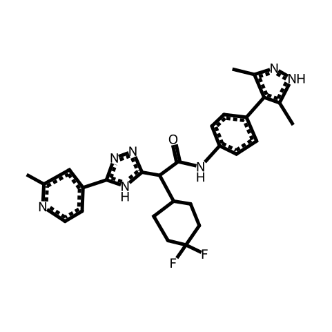 Cc1cc(-c2nnc(C(C(=O)Nc3ccc(-c4c(C)n[nH]c4C)cc3)C3CCC(F)(F)CC3)[nH]2)ccn1